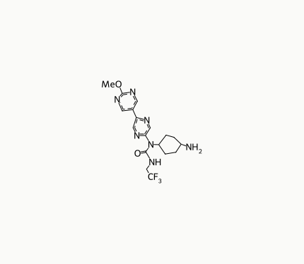 COc1ncc(-c2cnc(N(C(=O)NCC(F)(F)F)C3CCC(N)CC3)cn2)cn1